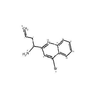 C=CCC(N)c1cc(Br)c2ccccc2n1